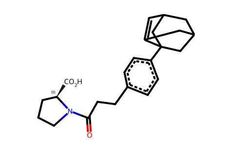 O=C(O)[C@@H]1CCCN1C(=O)CCc1ccc(C23CC4C=C2CC(C4)C3)cc1